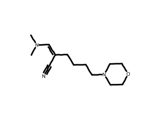 CN(C)/C=C(\C#N)CCCCN1CCOCC1